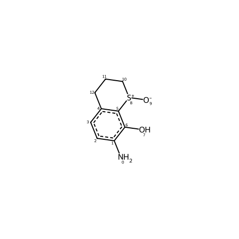 Nc1ccc2c(c1O)[S+]([O-])CCC2